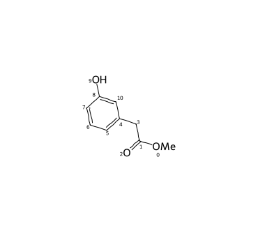 COC(=O)Cc1cc[c]c(O)c1